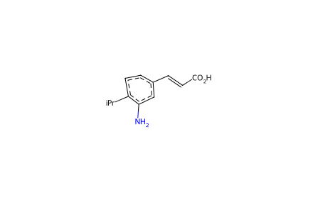 CC(C)c1ccc(/C=C/C(=O)O)cc1N